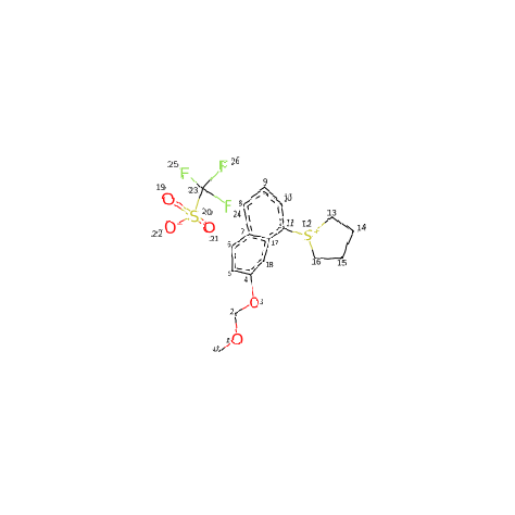 COCOc1ccc2cccc([S+]3CCCC3)c2c1.O=S(=O)([O-])C(F)(F)F